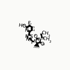 CC[C@H](C)N1C(=O)N(Cc2nnc(-c3ccc(F)c(O)n3)s2)C2(CC2)C1=O